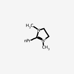 CCCC1=[N+](C)CCN1C